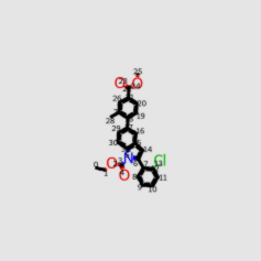 CCOC(=O)n1c(-c2ccccc2Cl)cc2cc(-c3ccc(C(=O)OC)cc3C)ccc21